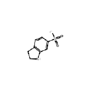 O=S(=O)(Cl)c1ccc2c(c1)NCC2